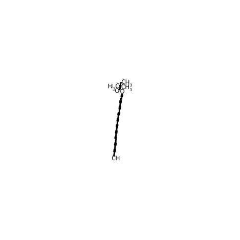 C#CC#CC#CC#CC#CC#CC#CC#CC#CC#CC#COC(=O)C(C)(C)CC